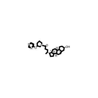 CC(CCC(=O)N1CCCC(Oc2ccncn2)C1)[C@H]1CC[C@H]2[C@@H]3CC=C4C[C@@H](O)CC[C@]4(C)[C@H]3CC[C@]12C